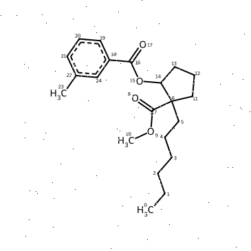 CCCCCCC1(C(=O)OC)CCCC1OC(=O)c1cccc(C)c1